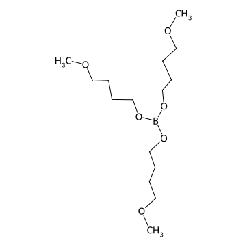 COCCCCOB(OCCCCOC)OCCCCOC